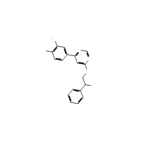 N#Cc1cc(-c2cc(NCC(O)c3ccccc3)ncn2)ccc1F